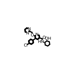 O=C(N[C@@H]1CCCC[C@H]1O)c1cnc(OCc2ncccn2)c(-c2ccc(Cl)cc2)c1